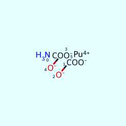 N.O=C([O-])[O-].O=C([O-])[O-].[Pu+4]